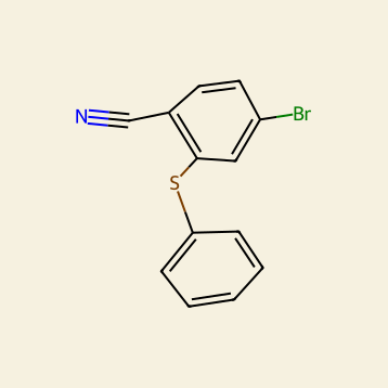 N#Cc1ccc(Br)cc1Sc1ccccc1